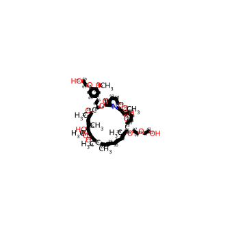 CO[C@@H]1C[C@H](CC[C@@H]2CC(=O)[C@H](C)/C=C(\C)[C@@H](O)[C@@H](OC)C(=O)[C@H](C)C[C@H](C)/C=C/C=C/C=C(\C)C(OCCOCCO)C[C@@H]3CC[C@@H](C)[C@@](O)(O3)C(=O)C(=O)N3CCCC[C@H]3C(=O)O2)CC[C@H]1OCCO